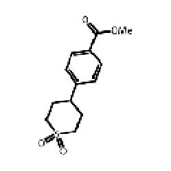 COC(=O)c1ccc(C2CCS(=O)(=O)CC2)cc1